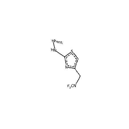 CCCCCNc1nc(CNC(F)(F)F)cs1